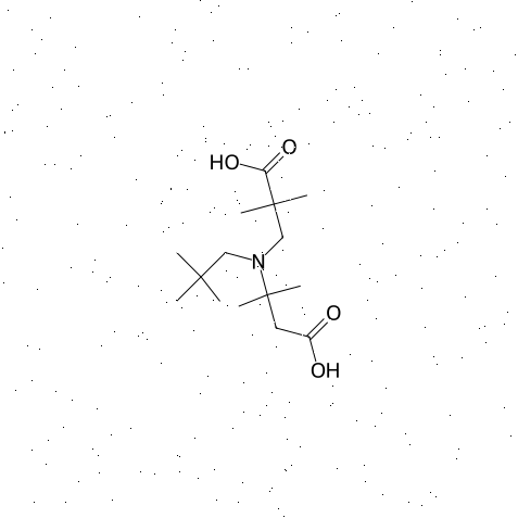 CC(C)(C)CN(CC(C)(C)C(=O)O)C(C)(C)CC(=O)O